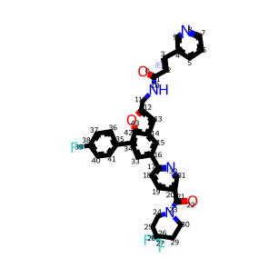 O=C(/C=C/c1cccnc1)NCc1cc2cc(-c3ccc(C(=O)N4CCC(F)(F)CC4)cn3)cc(-c3ccc(F)cc3)c2o1